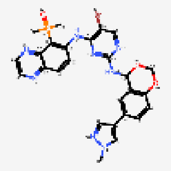 Cn1cc(-c2ccc3c(c2)C(Nc2ncc(Br)c(Nc4ccc5nccnc5c4P(C)(C)=O)n2)OCO3)cn1